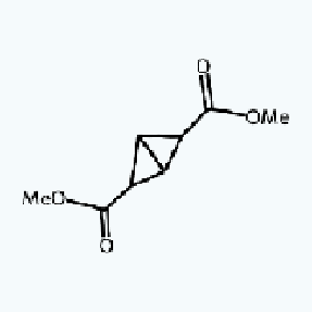 COC(=O)C1C2C(C(=O)OC)C12